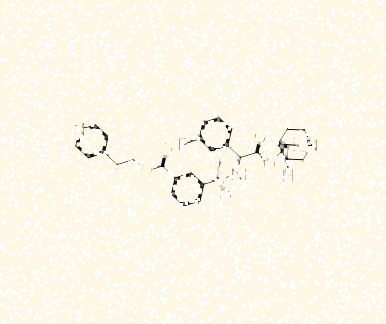 O=C(OCCc1ccncc1)c1cccc(S(=O)(=O)NC(C(=O)O[C@H]2CN3CCC2CC3)c2cccc(F)c2)c1